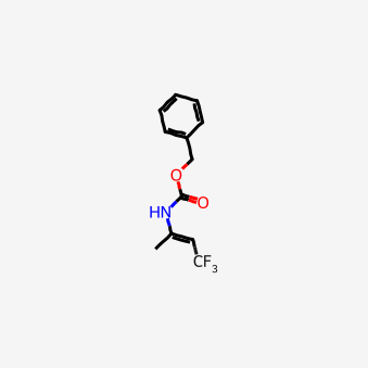 CC(=CC(F)(F)F)NC(=O)OCc1ccccc1